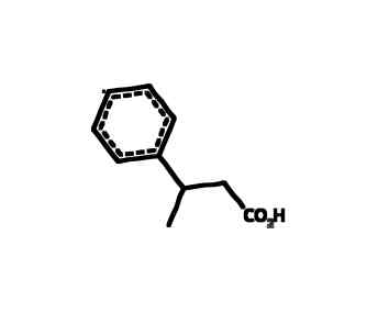 CC(CC(=O)O)c1cc[c]cc1